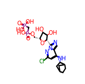 O=P(O)(O)CP(=O)(O)OC[C@H]1O[C@@H](c2ncc3c(N[C@@H]4CC5CCC4C5)cc(Cl)nn23)[C@H](O)[C@@H]1O